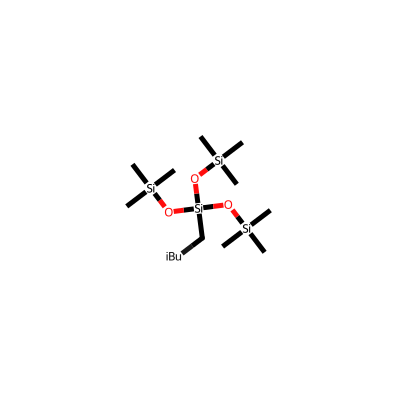 CCC(C)C[Si](O[Si](C)(C)C)(O[Si](C)(C)C)O[Si](C)(C)C